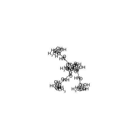 COP(=O)(S)OCC1(COP(=O)(S)OCC2(COP(=O)(S)OCC3(CO)CCN(C(=O)CCCCCNC(=O)CCCCO[C@@H]4O[C@H](CO)[C@H](O)[C@H](O)[C@H]4NC(C)=O)CC3)CCN(C(=O)CCCCCNC(=O)CCCCO[C@@H]3O[C@H](CO)[C@H](O)[C@H](O)[C@H]3NC(C)=O)CC2)CCN(C(=O)CCCCCNC(=O)CCCCO[C@@H]2O[C@H](CO)[C@H](O)[C@H](O)[C@H]2NC(C)=O)CC1